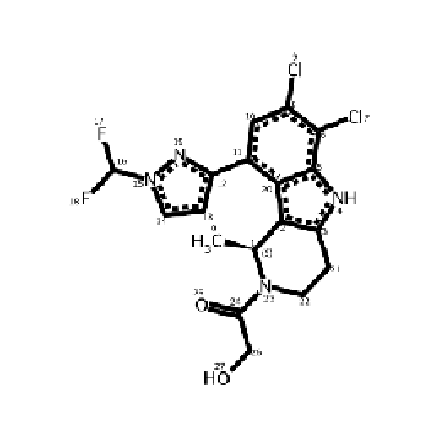 C[C@H]1c2c([nH]c3c(Cl)c(Cl)cc(-c4ccn(C(F)F)n4)c23)CCN1C(=O)CO